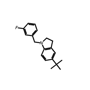 CC(C)(C)c1ccc2c(c1)CCN2Cc1cccc(F)c1